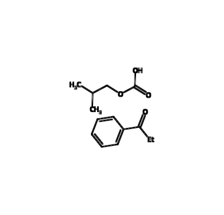 CC(C)COC(=O)O.CCC(=O)c1ccccc1